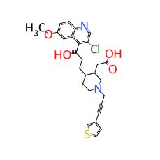 COc1ccc2ncc(Cl)c([C@H](O)CCC3CCN(CC#Cc4ccsc4)CC3CC(=O)O)c2c1